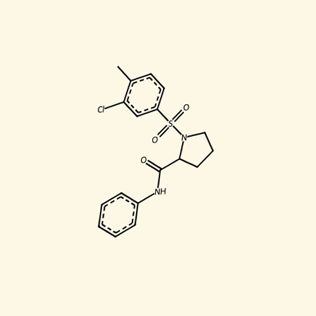 Cc1ccc(S(=O)(=O)N2CCCC2C(=O)Nc2ccccc2)cc1Cl